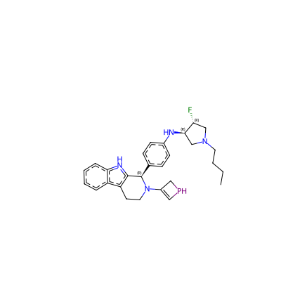 CCCCN1C[C@@H](F)[C@H](Nc2ccc([C@@H]3c4[nH]c5ccccc5c4CCN3C3=CPC3)cc2)C1